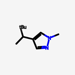 CC(c1cnn(C)c1)C(C)(C)C